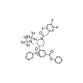 [2H]C([2H])([2H])N(C[C@@H]1CN(C(=O)Cc2cc(F)c(F)cc2F)CC[C@@]1(OC(=O)c1ccccc1)c1cccc(C(=O)Oc2ccccc2)c1)C([2H])([2H])[2H]